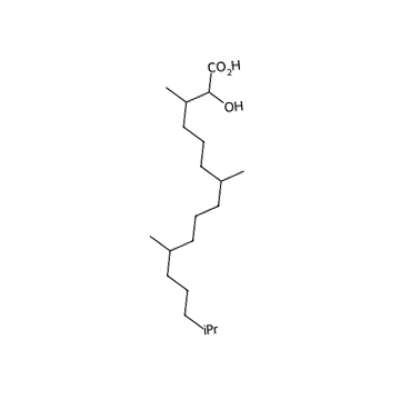 CC(C)CCCC(C)CCCC(C)CCCC(C)C(O)C(=O)O